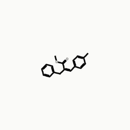 COC(=O)C(=Cc1ccc(C)cc1)Cc1ccccc1